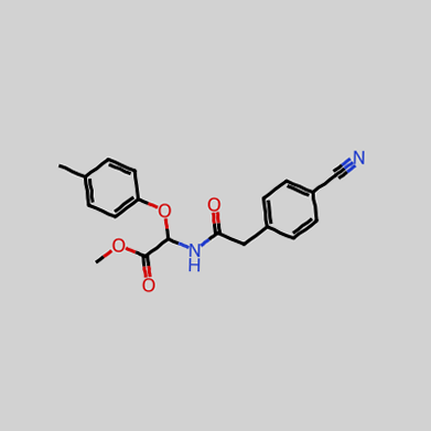 COC(=O)C(NC(=O)Cc1ccc(C#N)cc1)Oc1ccc(C)cc1